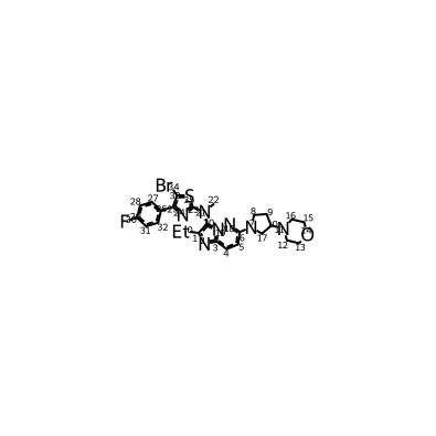 CCc1nc2ccc(N3CCC(N4CCOCC4)C3)nn2c1N(C)c1nc(-c2ccc(F)cc2)c(Br)s1